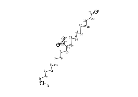 CCCCC/C=C/C/C=C/C/C(=C/C/C=C/C/C=C/CC[C]=O)[N+](=O)[O-]